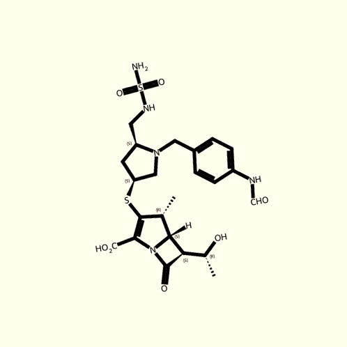 C[C@@H](O)[C@H]1C(=O)N2C(C(=O)O)=C(S[C@H]3C[C@@H](CNS(N)(=O)=O)N(Cc4ccc(NC=O)cc4)C3)[C@H](C)[C@H]12